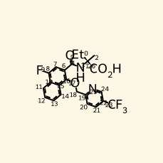 CC[C@](C)(NC(=O)c1cc(F)c2ccccc2c1OCc1ccc(C(F)(F)F)cn1)C(=O)O